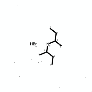 Br.CCC(C)NC(C)CC